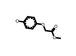 COC(=O)COc1ccc([O])cc1